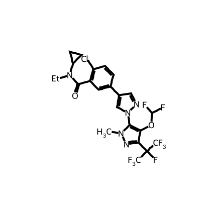 CCN(C(=O)c1cc(-c2cnn(-c3c(OC(F)F)c(C(F)(C(F)(F)F)C(F)(F)F)nn3C)c2)ccc1Cl)C1CC1